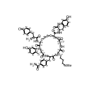 CNCCCC[C@@H]1NC(=O)[C@@H](Cc2ccc(C(N)=O)cc2)NC(=O)[C@H](Cc2ccc(O)cc2)NC(=O)[C@H](NC(=O)[C@@H](N)Cc2ccc(Cl)cc2)CSSC[C@@H](C(=O)N[C@H](Cc2ccc(O)cc2)C(N)=O)NC(=O)[C@H](C)NC1=O